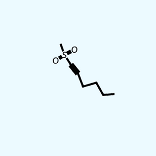 CCCCC#CS(C)(=O)=O